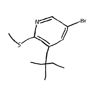 CSc1ncc(Br)cc1C(C)(C)C